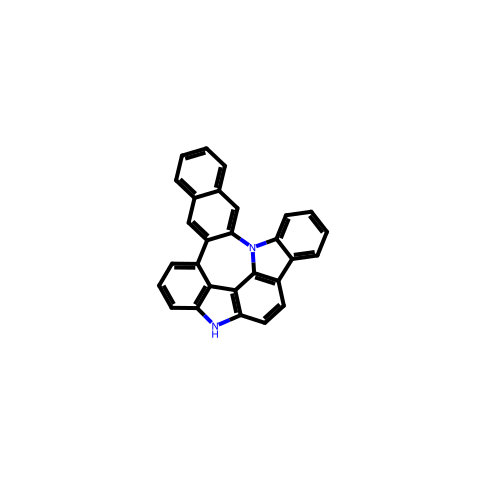 c1ccc2cc3c(cc2c1)c1cccc2[nH]c4ccc5c6ccccc6n3c5c4c21